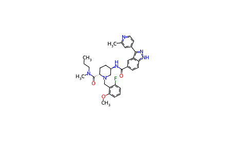 CCCN(C)C(=O)[C@@H]1CC[C@@H](NC(=O)c2ccc3[nH]nc(-c4ccnc(C)c4)c3c2)CN1Cc1c(F)cccc1OC